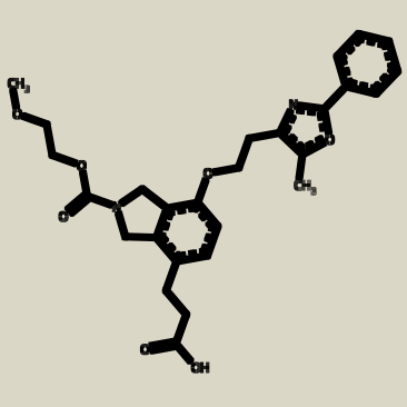 COCCOC(=O)N1Cc2c(CCC(=O)O)ccc(OCCc3nc(-c4ccccc4)oc3C)c2C1